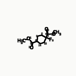 COC(=O)C1CCC(F)(C(=O)OC)CC1